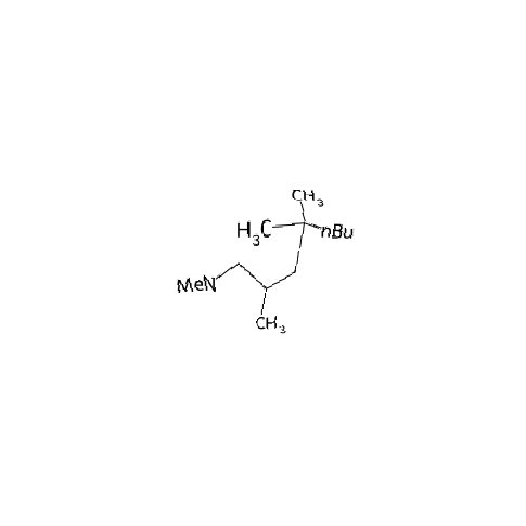 CCCCC(C)(C)CC(C)CNC